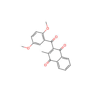 COc1ccc(OC)c(C(=O)C2=C(C)C(=O)c3ccccc3C2=O)c1